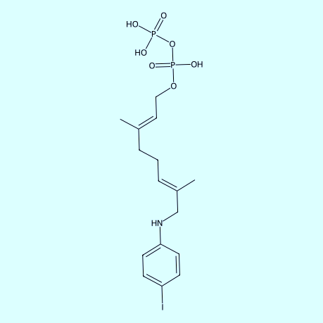 CC(=CCOP(=O)(O)OP(=O)(O)O)CCC=C(C)CNc1ccc(I)cc1